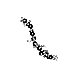 C[C@H]1CN(C2CC3CN(c4ccc5c(c4)C(=O)N(C4CCC(=O)NC4=O)C5=O)CC3C2)CCN1c1ccc(Nc2cc(-c3ccnc(N4CCn5c(cc6c5CC(C)(C)C6)C4=O)c3CO)cn(C)c2=O)nc1